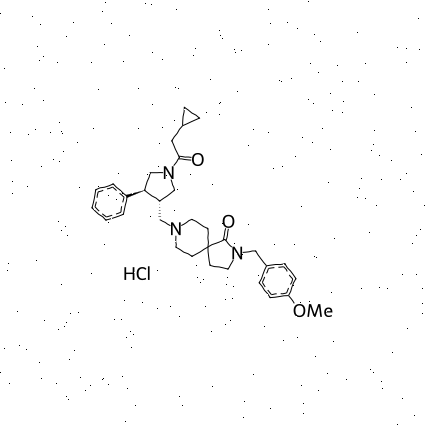 COc1ccc(CN2CCC3(CCN(C[C@H]4CN(C(=O)CC5CC5)C[C@@H]4c4ccccc4)CC3)C2=O)cc1.Cl